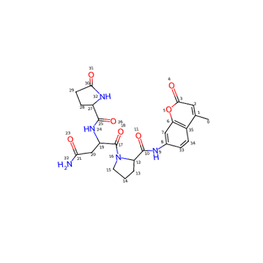 Cc1cc(=O)oc2cc(NC(=O)C3CCCN3C(=O)C(CC(N)=O)NC(=O)C3CCC(=O)N3)ccc12